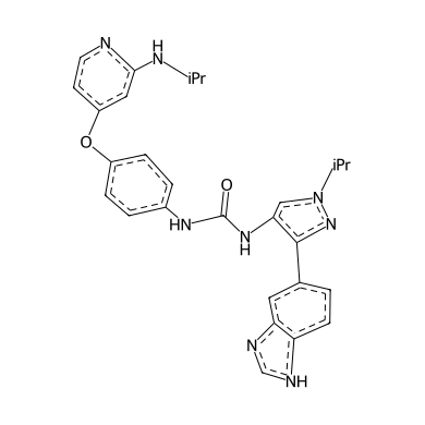 CC(C)Nc1cc(Oc2ccc(NC(=O)Nc3cn(C(C)C)nc3-c3ccc4[nH]cnc4c3)cc2)ccn1